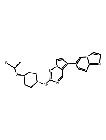 FC(F)O[C@H]1CC[C@H](Nc2ncc3c(-c4ccc5nccn5c4)ccn3n2)CC1